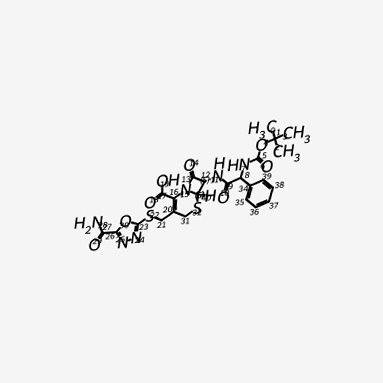 CC(C)(C)OC(=O)NC(C(=O)N[C@H]1C(=O)N2C(C(=O)O)=C(CSc3nnc(C(N)=O)o3)CS[C@@H]12)c1ccccc1